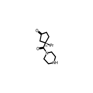 CC(C)[C@]1(C(=O)N2CCNCC2)CCC(=O)C1